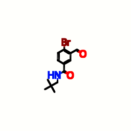 CC(C)(C)CNC(=O)c1ccc(Br)c(C=O)c1